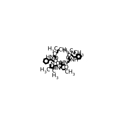 CCC[C@@H](NC(=O)C1[C@@H](C)[C@H](C)CN1C(=O)[C@@H](NC(=O)OCC(C)C)C1CCCCC1)C(=O)C(=O)NCC(=O)NC(C(=O)N(C)C)c1ccccc1